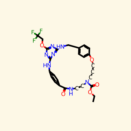 CCOC(=O)N1CCCOc2ccc(cc2)CNc2nc(nc(OCC(F)(F)F)n2)Nc2ccc(cc2)C(=O)NCC1